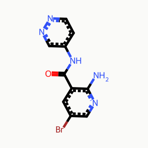 Nc1ncc(Br)cc1C(=O)Nc1ccnnc1